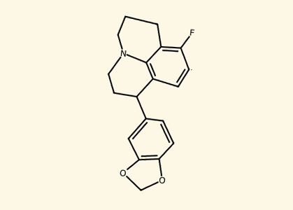 Fc1[c]cc2c3c1CCCN3CCC2c1ccc2c(c1)OCO2